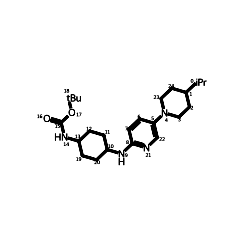 CC(C)C1CCN(c2ccc(NC3CCC(NC(=O)OC(C)(C)C)CC3)nc2)CC1